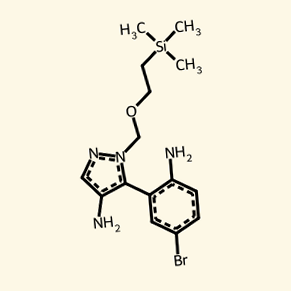 C[Si](C)(C)CCOCn1ncc(N)c1-c1cc(Br)ccc1N